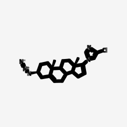 C[C@]12CC[C@H](N=[N+]=[N-])CC1=CCC1C2CC[C@]2(C)C(n3cnc(Cl)c3)=CCC12